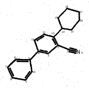 N#Cc1cc(-c2cc[c]cc2)ccc1C1CCCCC1